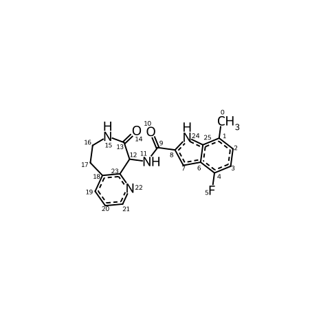 Cc1ccc(F)c2cc(C(=O)NC3C(=O)NCCc4cccnc43)[nH]c12